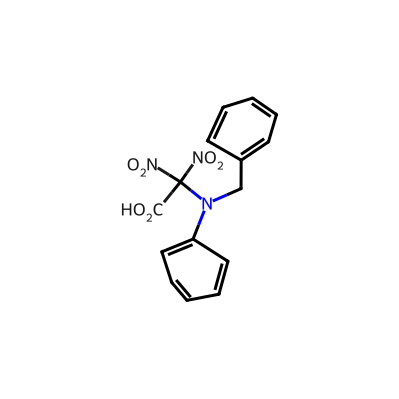 O=C(O)C(N(Cc1ccccc1)c1ccccc1)([N+](=O)[O-])[N+](=O)[O-]